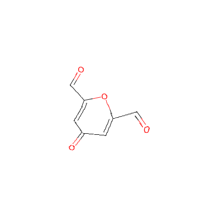 O=Cc1cc(=O)cc(C=O)o1